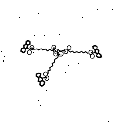 O=C(CCCCCCCCCOC(=O)c1c2ccccc2cc2ccccc12)OCC(COC(=O)CCCCCCCCCOC(=O)c1c2ccccc2cc2ccccc12)OC(=O)CCCCCCCCCOC(=O)c1c2ccccc2cc2ccccc12